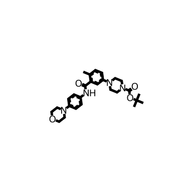 Cc1ccc(N2CCN(C(=O)OC(C)(C)C)CC2)cc1C(=O)Nc1ccc(N2CCOCC2)cc1